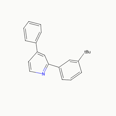 CC(C)(C)c1cccc(-c2cc(-c3ccccc3)ccn2)c1